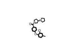 Cc1ccc(Oc2ccc(C(=O)N3CCC(N4CCCC4)C3)cc2)c(Cl)c1